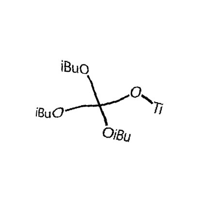 CC(C)COC([O][Ti])(OCC(C)C)OCC(C)C